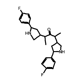 CC(C(=O)C(C)C1CNC(c2ccc(F)cc2)C1)C1CNC(c2ccc(F)cc2)C1